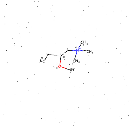 CC(=O)C[C@H](C[N+](C)(C)C)OC(C)C